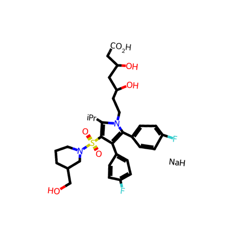 CC(C)c1c(S(=O)(=O)N2CCCC(CO)C2)c(-c2ccc(F)cc2)c(-c2ccc(F)cc2)n1CCC(O)CC(O)CC(=O)O.[NaH]